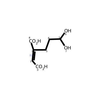 O=C(O)/C=C(\CCC(O)O)C(=O)O